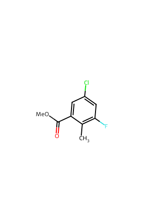 COC(=O)c1cc(Cl)cc(F)c1C